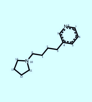 [CH](CCCc1cccnc1)N1CCCC1